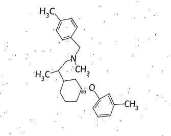 Cc1ccc(CN(C)CC(C)C2CCC[C@@H](Oc3cccc(C)c3)C2)cc1